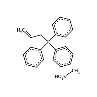 C=CC[P](c1ccccc1)(c1ccccc1)c1ccccc1.CS(=O)(=O)O